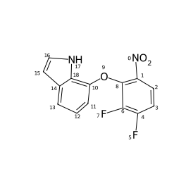 O=[N+]([O-])c1ccc(F)c(F)c1Oc1cccc2cc[nH]c12